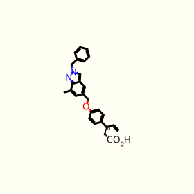 C=C[C@@H](CC(=O)O)c1ccc(OCc2cc(C)c3nn(Cc4ccccc4)cc3c2)cc1